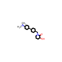 CN(C)c1ccc(-c2ccc(Cn3cccc(O)c3=O)cc2)cc1